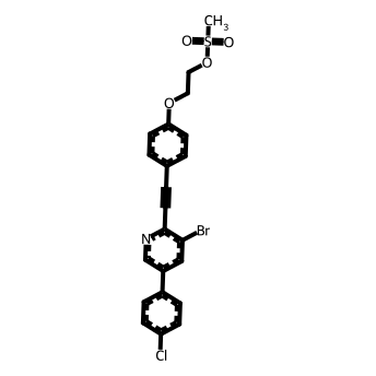 CS(=O)(=O)OCCOc1ccc(C#Cc2ncc(-c3ccc(Cl)cc3)cc2Br)cc1